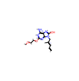 C=C/C=C(\C)Cn1c(O)nc2c(N)nc(OCCOC)nc21